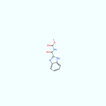 COC(=O)NC(=O)c1nc2ccccc2[nH]1